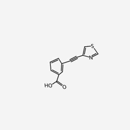 O=C(O)c1cccc(C#Cc2cscn2)c1